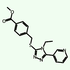 CCn1c(SCc2ccc(C(=O)OC)cc2)nnc1-c1cccnc1